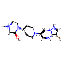 CN1CCN(C2CCN(c3cnc4c(Br)cnn4c3)CC2)C(=O)C1